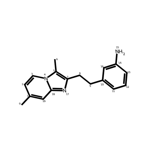 Cc1ccn2c(C)c(CCc3cccc(N)c3)nc2c1